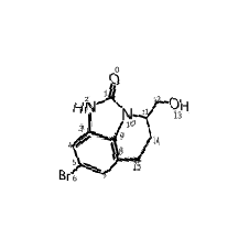 O=c1[nH]c2cc(Br)cc3c2n1C(CO)CC3